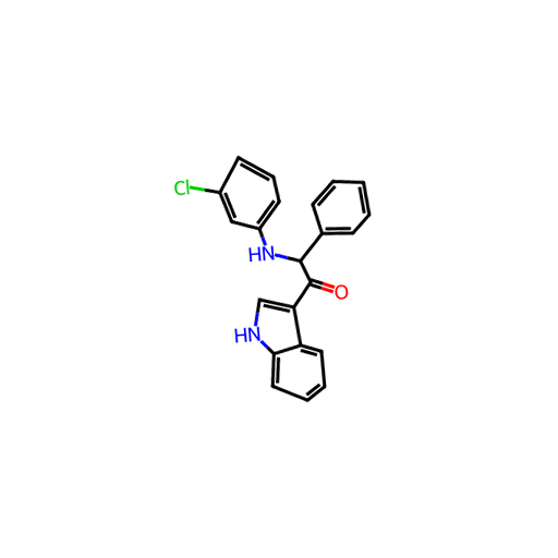 O=C(c1c[nH]c2ccccc12)C(Nc1cccc(Cl)c1)c1ccccc1